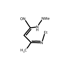 CC/N=C(C)\C=C(\N=O)NNC